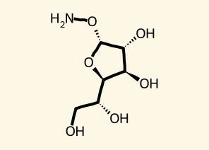 NO[C@H]1O[C@H]([C@H](O)CO)[C@H](O)[C@H]1O